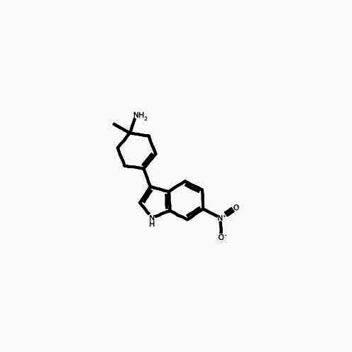 CC1(N)CC=C(c2c[nH]c3cc([N+](=O)[O-])ccc23)CC1